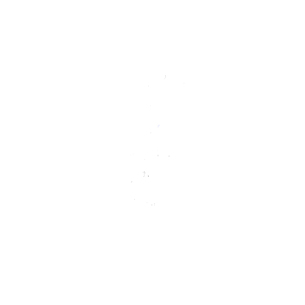 COC(=O)CNC(=O)C(=O)/C=C/c1ccccc1